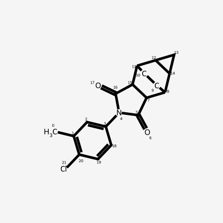 Cc1cc(N2C(=O)C3C4CCC(C5CC54)C3C2=O)ccc1Cl